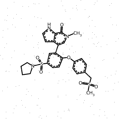 Cn1cc(-c2cc(S(=O)(=O)N3CCCC3)ccc2Oc2ccc(CS(C)(=O)=O)cc2)c2cc[nH]c2c1=O